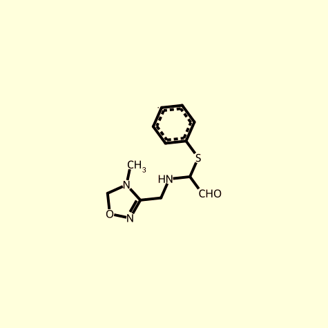 CN1CON=C1CNC(C=O)Sc1cc[c]cc1